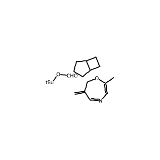 C1CC2CCC2C1.C=C1C=NC=C(C)OC1.CC(C)(C)OC=O